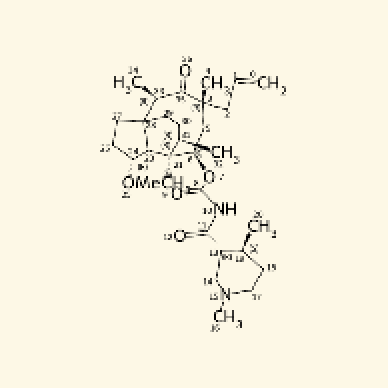 C=CC[C@]1(C)C[C@@H](OC(=O)NC(=O)[C@H]2CN(C)CC[C@@H]2C)[C@@]2(C)C3[C@H](OC)CCC3(CC[C@H]2C)[C@@H](C)C1=O